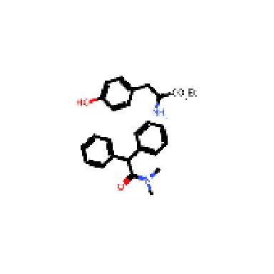 CCOC(=O)C(N)Cc1ccc(O)cc1.CN(C)C(=O)C(c1ccccc1)c1ccccc1